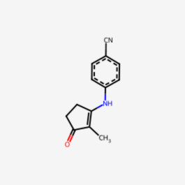 CC1=C(Nc2ccc(C#N)cc2)CCC1=O